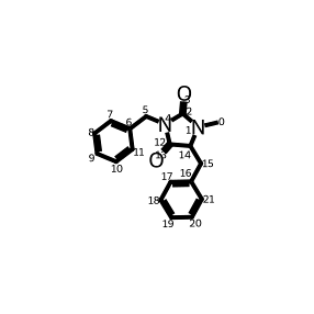 CN1C(=O)N(Cc2ccccc2)C(=O)C1Cc1ccccc1